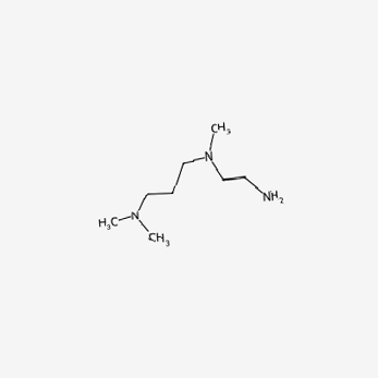 CN(C)CCCN(C)CCN